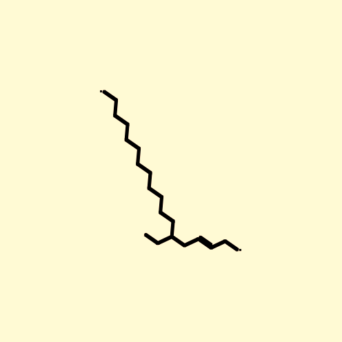 [CH2]C/C=C/CC(CC)CCCCCCCCCCC[CH2]